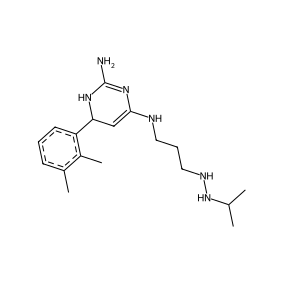 Cc1cccc(C2C=C(NCCCNNC(C)C)N=C(N)N2)c1C